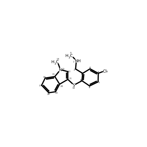 CNCc1cc(Cl)ccc1Sc1cn(C)c2ccccc12